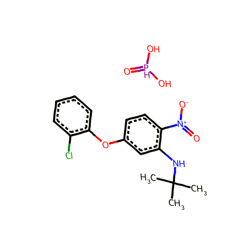 CC(C)(C)Nc1cc(Oc2ccccc2Cl)ccc1[N+](=O)[O-].O=[PH](O)O